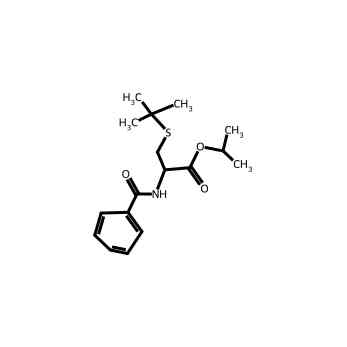 CC(C)OC(=O)C(CSC(C)(C)C)NC(=O)c1ccccc1